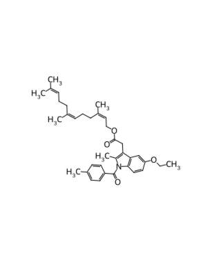 CCOc1ccc2c(c1)c(CC(=O)OCC=C(C)CCC=C(C)CCC=C(C)C)c(C)n2C(=O)c1ccc(C)cc1